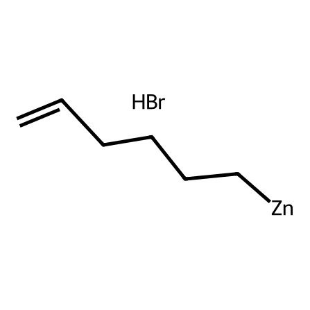 Br.C=CCCC[CH2][Zn]